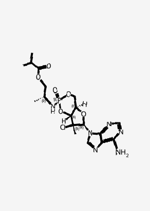 CC(C)C(=O)OC[C@@H](C)N[P@@]1(=O)OC[C@H]2O[C@@H](n3cnc4c(N)ncnc43)[C@](C)(Cl)[C@@H]2O1